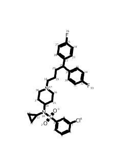 O=S(=O)(c1cccc(Cl)c1)N(C1CC1)C1CCN(CCCC(c2ccc(F)cc2)c2ccc(F)cc2)CC1